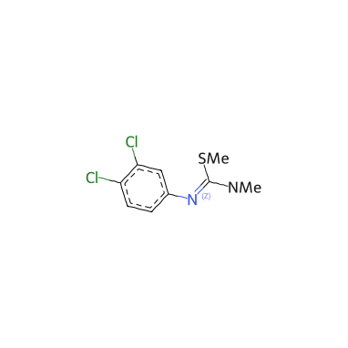 CN/C(=N/c1ccc(Cl)c(Cl)c1)SC